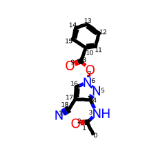 CC(=O)Nc1nn(OC(=O)c2ccccc2)cc1C#N